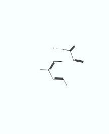 C=CC(=O)OC.CCOC(=O)C(C=CC(=O)O)=CO